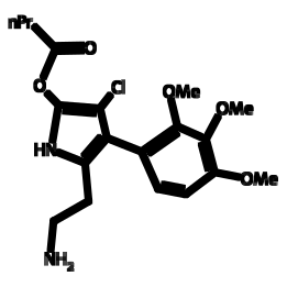 CCCC(=O)Oc1[nH]c(CCN)c(-c2ccc(OC)c(OC)c2OC)c1Cl